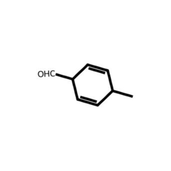 CC1C=CC(C=O)C=C1